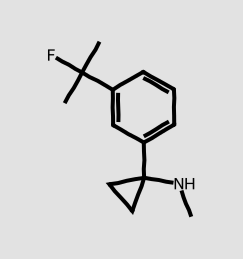 CNC1(c2cccc(C(C)(C)F)c2)CC1